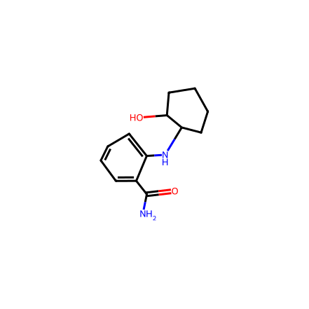 NC(=O)c1ccccc1NC1CCCCC1O